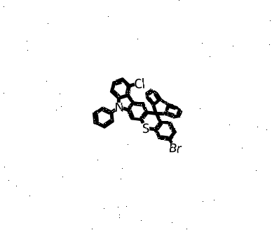 Clc1cccc2c1c1cc3c(cc1n2-c1ccccc1)Sc1cc(Br)ccc1C31c2ccccc2-c2ccccc21